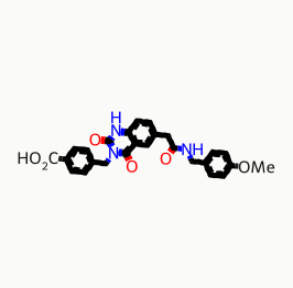 COc1ccc(CNC(=O)Cc2ccc3[nH]c(=O)n(Cc4ccc(C(=O)O)cc4)c(=O)c3c2)cc1